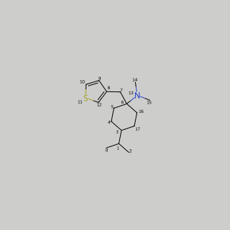 CC(C)C1CCC(Cc2ccsc2)(N(C)C)CC1